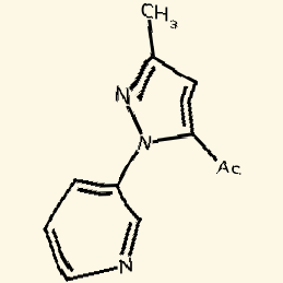 CC(=O)c1cc(C)nn1-c1cccnc1